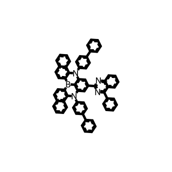 c1ccc(-c2ccc(N3c4cc(-c5nc(-c6ccccc6)c6ccccc6n5)cc5c4B(c4ccc6ccccc6c43)c3ccc4ccccc4c3N5c3ccc(-c4ccccc4)cc3)cc2)cc1